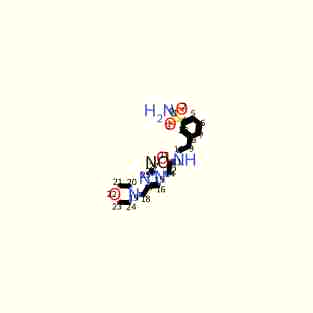 NS(=O)(=O)c1cccc(CCNC(=O)Cn2cc(CN3CCOCC3)nc2[N+](=O)[O-])c1